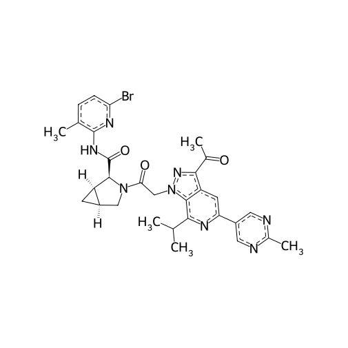 CC(=O)c1nn(CC(=O)N2C[C@H]3C[C@H]3[C@H]2C(=O)Nc2nc(Br)ccc2C)c2c(C(C)C)nc(-c3cnc(C)nc3)cc12